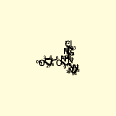 COc1ccc(COc2cc(-c3nccn3C)nc(-c3nc(Cl)cs3)n2)cc1